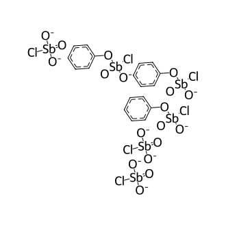 [O]=[Sb]([O-])([Cl])[O]c1ccccc1.[O]=[Sb]([O-])([Cl])[O]c1ccccc1.[O]=[Sb]([O-])([Cl])[O]c1ccccc1.[O]=[Sb]([O-])([O-])[Cl].[O]=[Sb]([O-])([O-])[Cl].[O]=[Sb]([O-])([O-])[Cl]